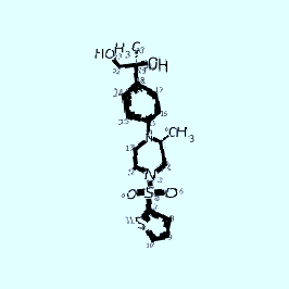 C[C@H]1CN(S(=O)(=O)c2cccs2)CCN1c1ccc([C@](C)(O)CO)cc1